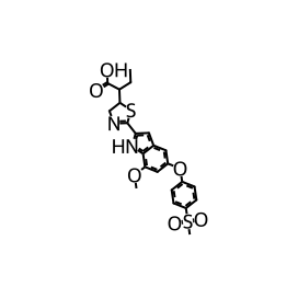 CCC(C(=O)O)C1CN=C(c2cc3cc(Oc4ccc(S(C)(=O)=O)cc4)cc(OC)c3[nH]2)S1